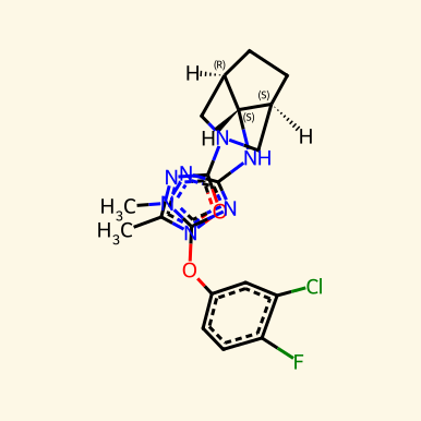 Cc1noc(N2C[C@H]3CC[C@@H](C2)[C@@H]3Nc2nc(Oc3ccc(F)c(Cl)c3)n(C)n2)n1